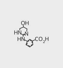 O=C(O)c1cccc(NC2=NCC(O)CN2)c1